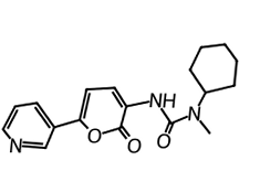 CN(C(=O)Nc1ccc(-c2cccnc2)oc1=O)C1CCCCC1